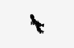 CC(C)N1CCC(Oc2cc(C3CC3)cc3cnc(Nc4ccc(N5CCOCC5)cc4)nc23)CC1